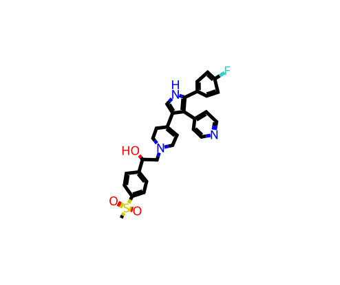 CS(=O)(=O)c1ccc(C(O)CN2CC=C(c3c[nH]c(-c4ccc(F)cc4)c3-c3ccncc3)CC2)cc1